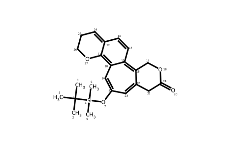 CC(C)(C)[Si](C)(C)OC1=Cc2c3c(ccc2=C2COC(=O)CC2=C1)=CCCO3